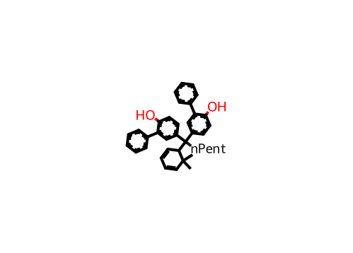 CCCCCC(c1ccc(O)c(-c2ccccc2)c1)(c1ccc(O)c(-c2ccccc2)c1)C1C=CC=CC1(C)C